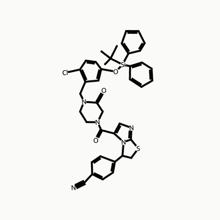 CC(C)(C)[Si](Oc1ccc(Cl)c(CN2CCN(C(=O)c3cnc4n3C(c3ccc(C#N)cc3)CS4)CC2=O)c1)(c1ccccc1)c1ccccc1